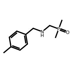 Cc1ccc(CNCP(C)(C)=O)cc1